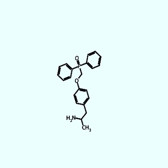 CC(N)Cc1ccc(OCP(=O)(c2ccccc2)c2ccccc2)cc1